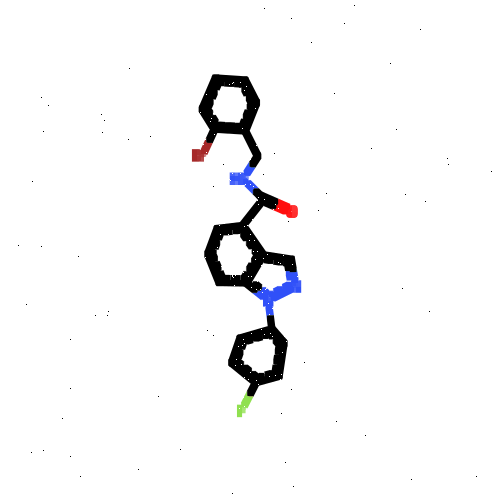 O=C(NCc1ccccc1Br)c1cccc2c1cnn2-c1ccc(F)cc1